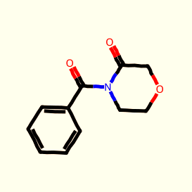 O=C1COCCN1C(=O)c1ccccc1